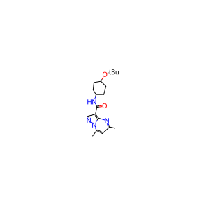 Cc1cc(C)n2ncc(C(=O)NC3CCC(OC(C)(C)C)CC3)c2n1